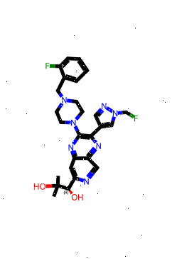 CC(C)(O)[C@H](O)c1cc2nc(N3CCN(Cc4ccccc4F)CC3)c(-c3cnn(CF)c3)nc2cn1